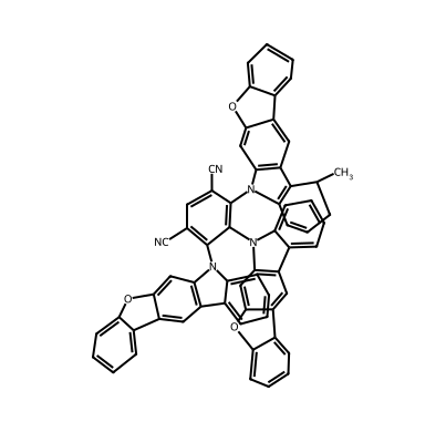 CC1CC=Cc2c1c1cc3c(cc1n2-c1c(C#N)cc(C#N)c(-n2c4ccccc4c4cc5c(cc42)oc2ccccc25)c1-n1c2ccccc2c2cc4c(cc21)oc1ccccc14)oc1ccccc13